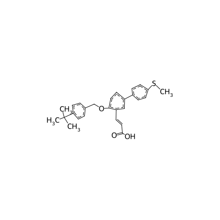 CSc1ccc(-c2ccc(OCc3ccc(C(C)(C)C)cc3)c(C=CC(=O)O)c2)cc1